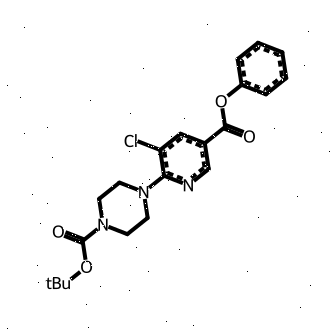 CC(C)(C)OC(=O)N1CCN(c2ncc(C(=O)Oc3ccccc3)cc2Cl)CC1